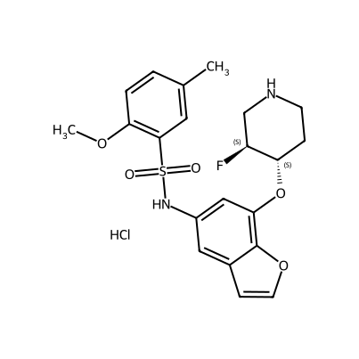 COc1ccc(C)cc1S(=O)(=O)Nc1cc(O[C@H]2CCNC[C@@H]2F)c2occc2c1.Cl